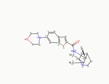 CC1(C)[C@H](NC(=O)c2cc3ccc(N4CCOCC4)cc3s2)C2CCN1CC2